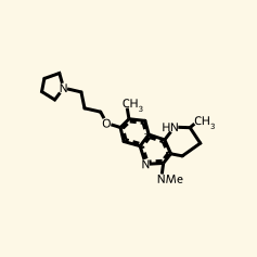 CNc1nc2cc(OCCCN3CCCC3)c(C)cc2c2c1CCC(C)N2